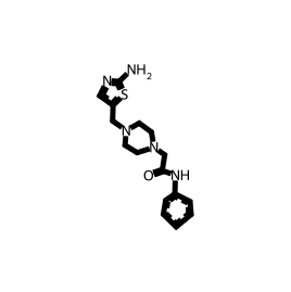 Nc1ncc(CN2CCN(CC(=O)Nc3ccccc3)CC2)s1